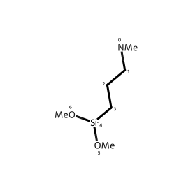 CNCCC[Si](OC)OC